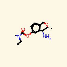 CCN(C)C(=O)Oc1ccc2c(c1)[C@H](N)[C@@H](C)OC2